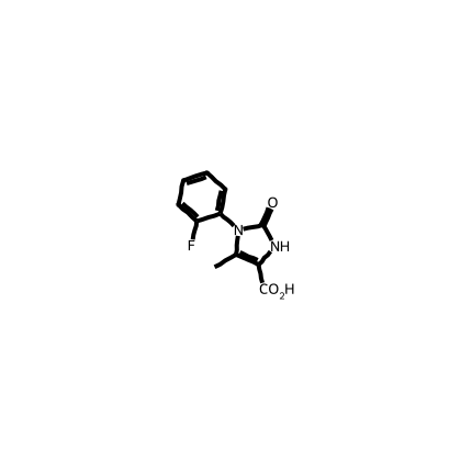 Cc1c(C(=O)O)[nH]c(=O)n1-c1ccccc1F